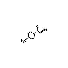 C[C@H]1CC[C@H](C(=O)C=N)CC1